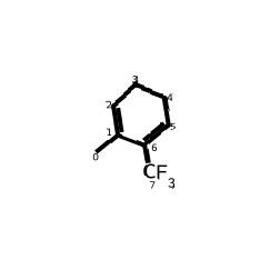 CC1=CCCC=C1C(F)(F)F